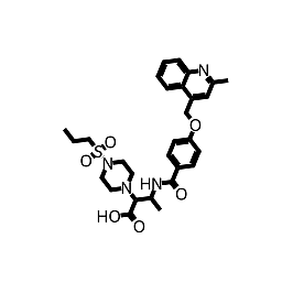 CCCS(=O)(=O)N1CCN(C(C(=O)O)C(C)NC(=O)c2ccc(OCc3cc(C)nc4ccccc34)cc2)CC1